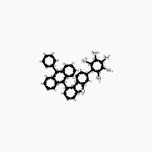 [2H]c1c([2H])c([2H])c(-c2ccc3c(c2)oc2cccc(-c4c5ccccc5c(-c5ccccc5)c5ccccc45)c23)c([2H])c1[2H]